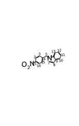 O=[N+]([O-])c1ccc(Cn2ccc3ccccc32)cc1